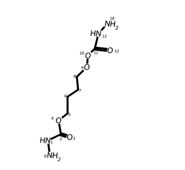 NNC(=O)OCCCCOOC(=O)NN